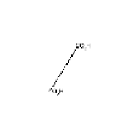 O=C(O)CCCCCCCC=CCC=CCCCCCCCCCCCCC=CCC=CCCCCCCCC(=O)O